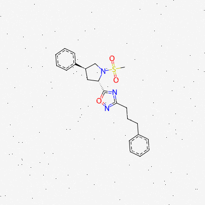 CS(=O)(=O)N1C[C@H](c2ccccc2)C[C@H]1c1nc(CCCc2ccccc2)no1